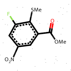 COC(=O)c1cc([N+](=O)[O-])cc(F)c1SC